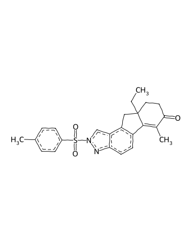 CCC12CCC(=O)C(C)=C1c1ccc3nn(S(=O)(=O)c4ccc(C)cc4)cc3c1C2